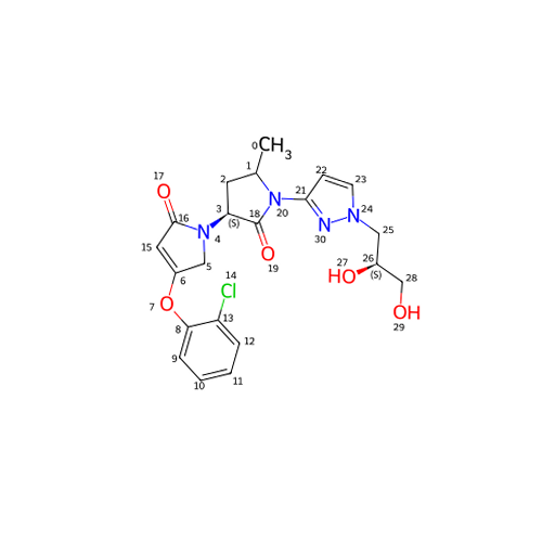 CC1C[C@H](N2CC(Oc3ccccc3Cl)=CC2=O)C(=O)N1c1ccn(C[C@H](O)CO)n1